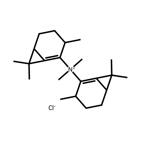 CC1CCC2C(=C1[N+](C)(C)C1=C3C(CCC1C)C3(C)C)C2(C)C.[Cl-]